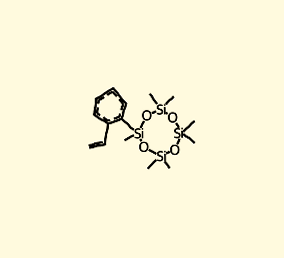 C=Cc1ccccc1[Si]1(C)O[Si](C)(C)O[Si](C)(C)O[Si](C)(C)O1